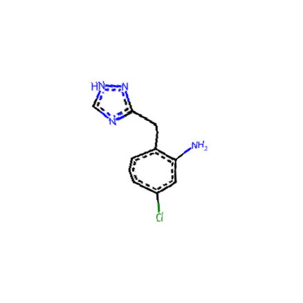 Nc1cc(Cl)ccc1Cc1nc[nH]n1